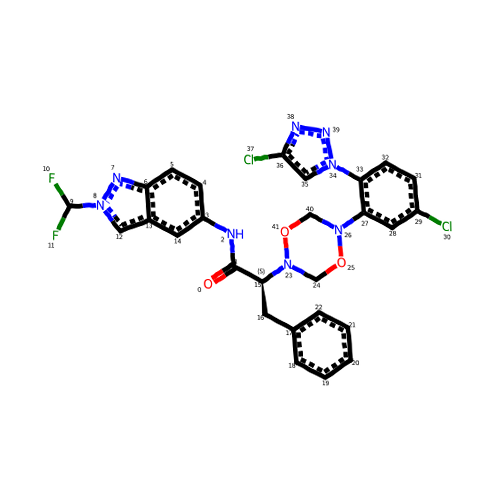 O=C(Nc1ccc2nn(C(F)F)cc2c1)[C@H](Cc1ccccc1)N1CON(c2cc(Cl)ccc2-n2cc(Cl)nn2)CO1